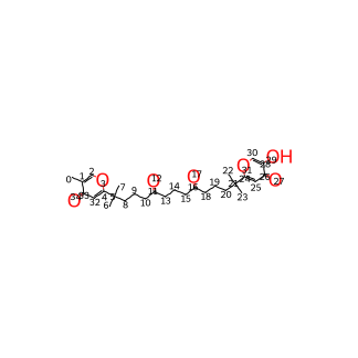 Cc1coc(C(C)(C)CCCC(=O)CCCC(=O)CCCC(C)(C)c2cc(=O)c(O)co2)cc1=O